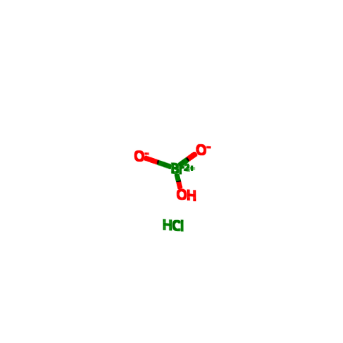 Cl.[O-][Br+2]([O-])O